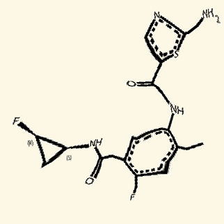 Cc1cc(F)c(C(=O)N[C@H]2C[C@H]2F)cc1NC(=O)c1cnc(N)s1